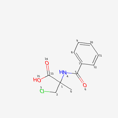 CC(CCl)(NC(=O)c1ccccc1)C(=O)O